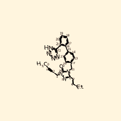 CC#CCn1nc(C=CCC)n(Cc2ccc(-c3ccccc3-c3nnn[nH]3)cc2)c1=O